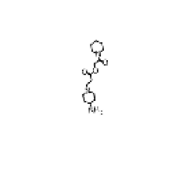 NC1CCN(CCC(=O)OCC(=O)N2CCCCC2)CC1